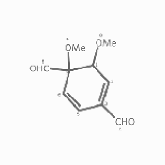 COC1C=C(C=O)C=CC1(C=O)OC